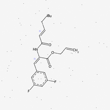 C=CCOC(=O)/C(=C\c1cc(F)cc(F)c1)NC(=O)/C=C/CC(C)CC